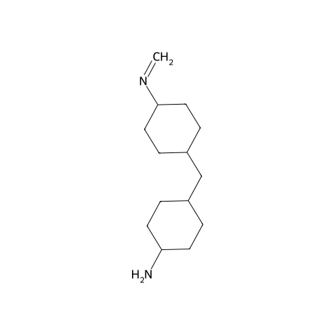 C=NC1CCC(CC2CCC(N)CC2)CC1